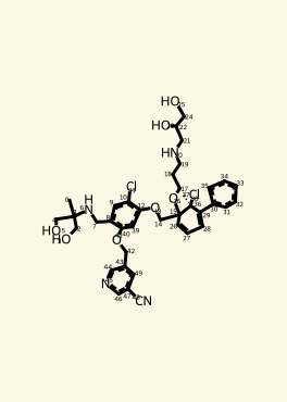 CC(CO)(CO)NCc1cc(Cl)c(OCC2(OCCCNCC(O)CO)C=CC=C(c3ccccc3)[C@]2(C)Cl)cc1OCc1cncc(C#N)c1